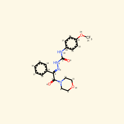 O=C(NN=C(C(=O)N1CCOCC1)c1ccccc1)Nc1ccc(OC(F)(F)F)cc1